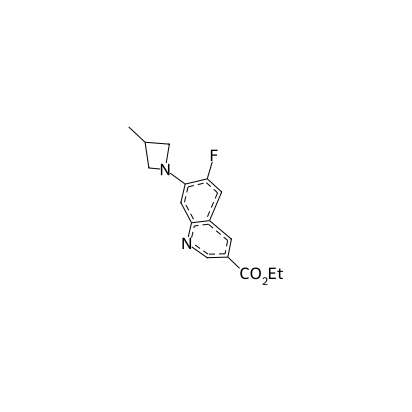 CCOC(=O)c1cnc2cc(N3CC(C)C3)c(F)cc2c1